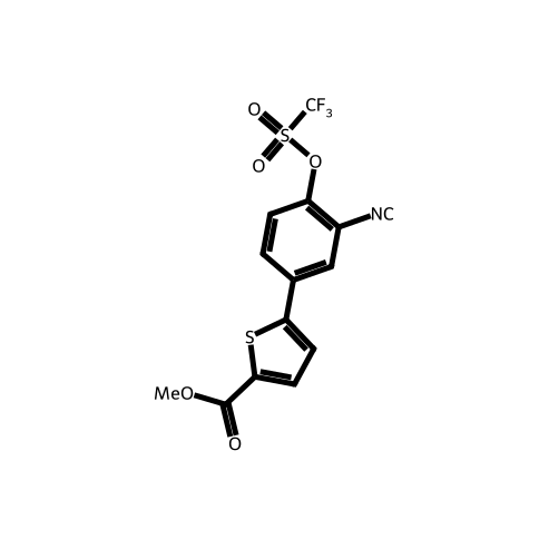 [C-]#[N+]c1cc(-c2ccc(C(=O)OC)s2)ccc1OS(=O)(=O)C(F)(F)F